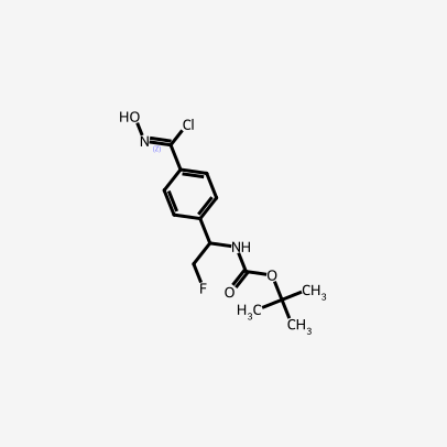 CC(C)(C)OC(=O)NC(CF)c1ccc(/C(Cl)=N/O)cc1